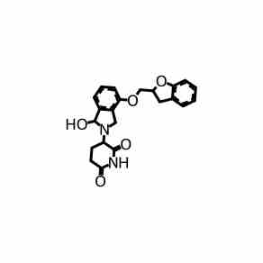 O=C1CCC(N2Cc3c(OCC4Cc5ccccc5O4)cccc3C2O)C(=O)N1